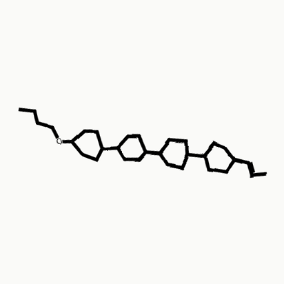 C/C=C/C1CCC(C2CCC(C3CCC(C4CCC(OCCCC)CC4)CC3)CC2)CC1